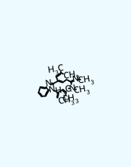 C/C=C\C(=C/C)n1c(/C(C=C(C)C)=C/C/C(=N/C)N(C)C)nc2ccccc21